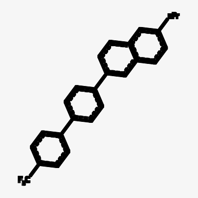 CCCc1ccc2cc(-c3ccc(-c4ccc(C(F)(F)F)cc4)cc3)ccc2c1